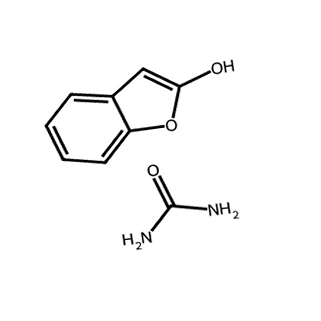 NC(N)=O.Oc1cc2ccccc2o1